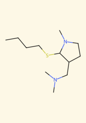 CCCCSC1C(CN(C)C)CCN1C